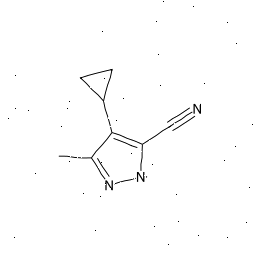 CC1=N[N]C(C#N)=C1C1CC1